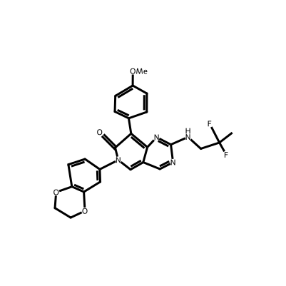 COc1ccc(-c2c(=O)n(-c3ccc4c(c3)OCCO4)cc3cnc(NCC(C)(F)F)nc23)cc1